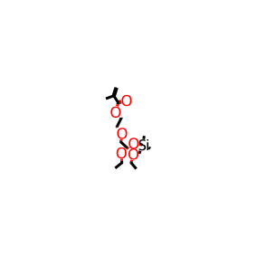 C=C(C)C(=O)OCCOCC(OCC)(OCC)O[Si](C)(C)C